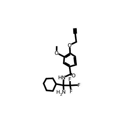 C#CCOc1ccc(C(=O)NC(N)(C2CCCCC2)C(F)(F)F)cc1OC